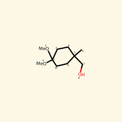 COC1(OC)CCC(C)(CO)CC1